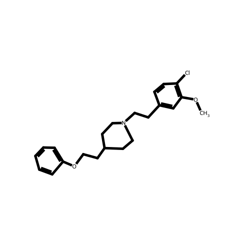 COc1cc(CCN2CCC(CCOc3ccccc3)CC2)ccc1Cl